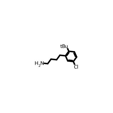 CC(C)(C)c1ccc(Cl)cc1CCCCN